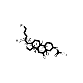 CC(C)CCC[C@@H](C)[C@H]1CC[C@H]2[C@@H]3CC(Cl)C4(Cl)CC(OC(=O)C(F)(F)F)CC[C@]4(C)[C@H]3CC[C@]12C